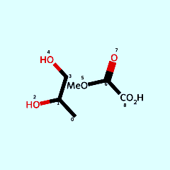 CC(O)CO.COC(=O)C(=O)O